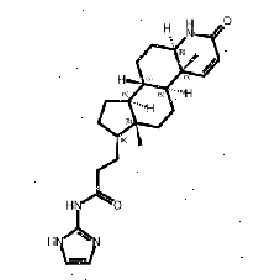 C[C@]12C=CC(=O)N[C@@H]1CC[C@@H]1[C@@H]2CC[C@]2(C)[C@@H](CCC(=O)Nc3ncc[nH]3)CC[C@@H]12